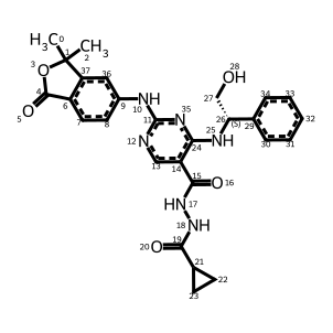 CC1(C)OC(=O)c2ccc(Nc3ncc(C(=O)NNC(=O)C4CC4)c(N[C@H](CO)c4ccccc4)n3)cc21